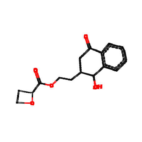 O=C1CC(CCOC(=O)C2CCO2)C(O)c2ccccc21